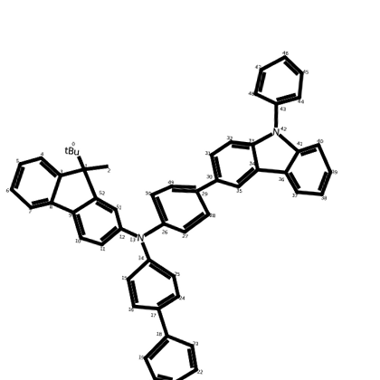 CC(C)(C)C1(C)c2ccccc2-c2ccc(N(c3ccc(-c4ccccc4)cc3)c3ccc(-c4ccc5c(c4)c4ccccc4n5-c4ccccc4)cc3)cc21